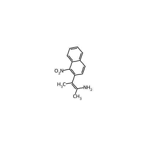 C/C(N)=C(\C)c1ccc2ccccc2c1[N+](=O)[O-]